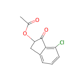 CC(=O)OC1Cc2cccc(Cl)c2C1=O